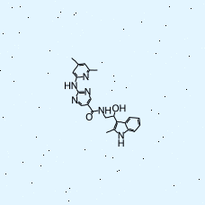 Cc1cc(C)nc(Nc2ncc(C(=O)NCC(O)c3c(C)[nH]c4ccccc34)cn2)c1